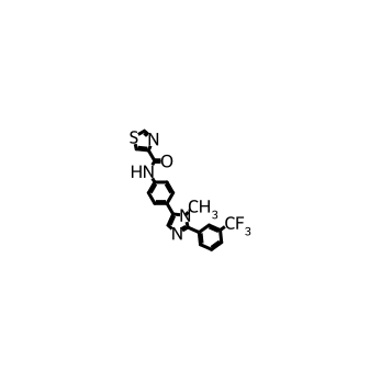 Cn1c(-c2ccc(NC(=O)c3cscn3)cc2)cnc1-c1cccc(C(F)(F)F)c1